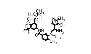 COc1c(CNC(C)(C)C)cc(NC(=O)c2ccc(C)c(N(N)/C=C(\N)c3cnn(C)c3C)c2)cc1C(F)(F)F